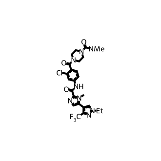 CCn1cc(-c2cnc(C(=O)Nc3ccc(C(=O)N4CCN(C(=O)NC)CC4)c(Cl)c3)n2C)c(C(F)(F)F)n1